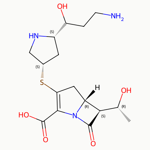 C[C@@H](O)[C@H]1C(=O)N2C(C(=O)O)=C(S[C@@H]3CN[C@H](C(O)CCN)C3)C[C@H]12